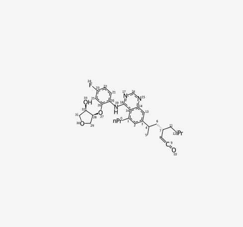 CCCc1cc(C(C)C[C@@H](C=C=O)CC(C)C)cc2ncnc(Nc3ccc(F)cc3O[C@H]3COC[C@H]3O)c12